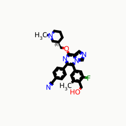 Cc1cc(-c2c(-c3ccc(C#N)cc3)nc(OC[C@@H]3CCCN(C)C3)c3cncn23)cc(F)c1CO